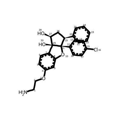 NCCOc1ccc2c(c1)O[C@@]1(c3ccc(Cl)cc3)[C@H](c3ccccc3)C[C@H](O)[C@@]21O